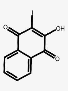 O=C1C(O)=C(I)C(=O)c2ccccc21